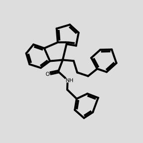 O=C(NCc1ccccc1)C1(CCCc2ccccc2)c2ccccc2-c2ccccc21